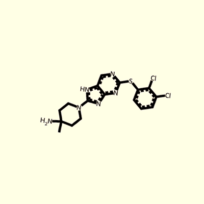 CC1(N)CCN(c2nc3nc(Sc4cccc(Cl)c4Cl)ncc3[nH]2)CC1